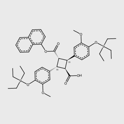 CC[Si](CC)(CC)Oc1ccc([C@H]2[C@H](C(=O)O)[C@H](c3ccc(O[Si](CC)(CC)CC)c(OC)c3)[C@H]2C(=O)Oc2cccc3ccccc23)cc1OC